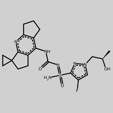 C[C@@H](O)Cn1cc(F)c(S(N)(=O)=NC(=O)Nc2c3c(nc4c2CCC42CC2)CCC3)n1